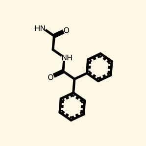 [NH]C(=O)CNC(=O)C(c1ccccc1)c1ccccc1